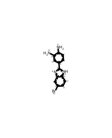 Nc1ccc(-c2nc3cc(Br)ccc3[nH]2)cc1N